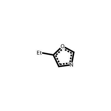 CCc1cnco1